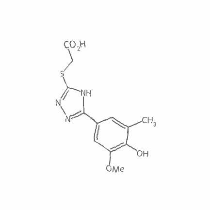 COc1cc(-c2nnc(SCC(=O)O)[nH]2)cc(C)c1O